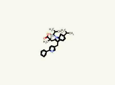 CC(C)Cn1c(CC(C)(C)C(=O)O)c(Cc2ccc(-c3ccccc3)nc2)c2ccc(C(C)C)cc21